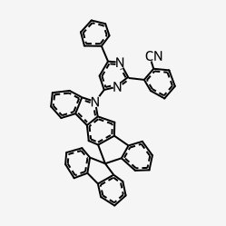 N#Cc1ccccc1-c1nc(-c2ccccc2)cc(-n2c3ccccc3c3cc4c(cc32)-c2ccccc2C42c3ccccc3-c3ccccc32)n1